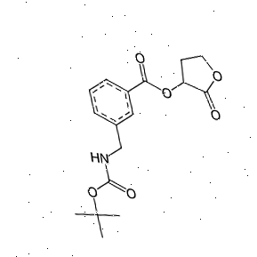 CC(C)(C)OC(=O)NCc1cccc(C(=O)OC2CCOC2=O)c1